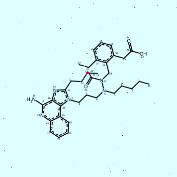 CCCCCN(CCCn1c(CCCC)nc2c(N)nc3ccccc3c21)N(Cc1c(CC)cccc1CC(=O)O)C(C)=O